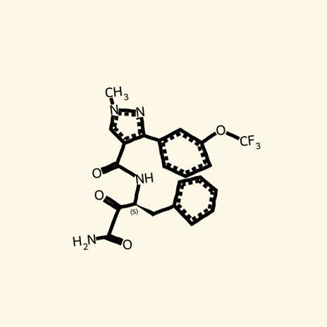 Cn1cc(C(=O)N[C@@H](Cc2ccccc2)C(=O)C(N)=O)c(-c2cccc(OC(F)(F)F)c2)n1